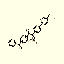 Cc1ccc(-c2ccc(C(=O)C(=O)N3CCN(C(=O)c4ccccc4)C[C@H]3C)cc2)nc1